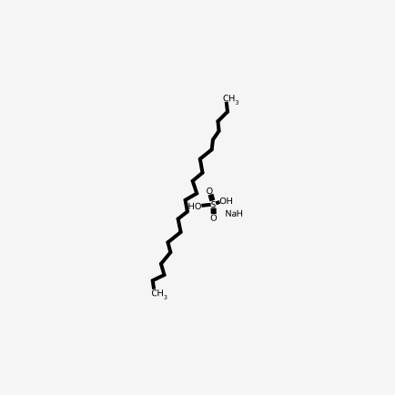 CCCCCCCCCCCCCCCCCCCC.O=S(=O)(O)O.[NaH]